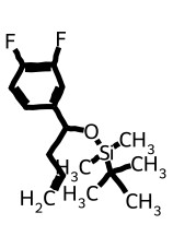 C=CCC(O[Si](C)(C)C(C)(C)C)c1ccc(F)c(F)c1